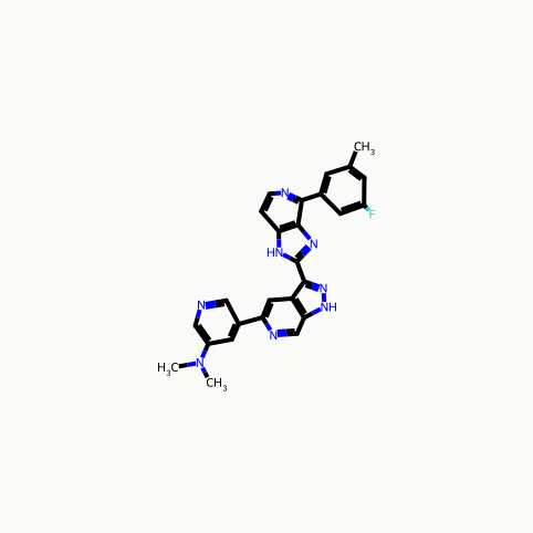 Cc1cc(F)cc(-c2nccc3[nH]c(-c4n[nH]c5cnc(-c6cncc(N(C)C)c6)cc45)nc23)c1